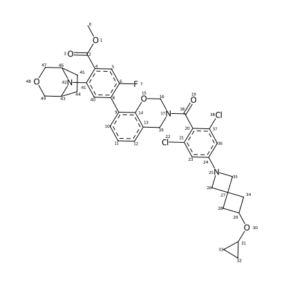 COC(=O)c1cc(F)c(-c2cccc3c2OCN(C(=O)c2c(Cl)cc(N4CC5(CC(OC6CC6)C5)C4)cc2Cl)C3)cc1N1C2CCC1COC2